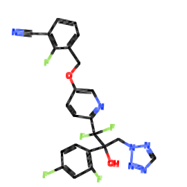 N#Cc1cccc(COc2ccc(C(F)(F)C(O)(Cn3ncnn3)c3ccc(F)cc3F)nc2)c1F